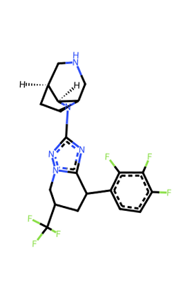 Fc1ccc(C2CC(C(F)(F)F)Cn3nc(N4[C@H]5[C@H]6CC[C@]54CNC6)nc32)c(F)c1F